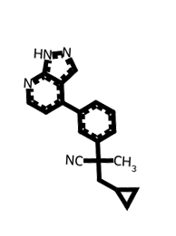 CC(C#N)(CC1CC1)c1cccc(-c2ccnc3[nH]ncc23)c1